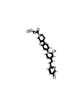 CC(C)(C)OC(=O)N1CCc2c(sc3cc(-n4ccc(CCc5ccc(Cl)cn5)cc4=O)ccc23)C1